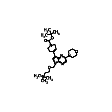 CC(C)(C)OC(=O)N1CC=C(c2cn(COCC[Si](C)(C)C)c3ncc(N4CCOCC4)nc23)CC1